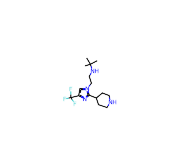 CC(C)(C)NCCn1cc(C(F)(F)F)nc1C1CCNCC1